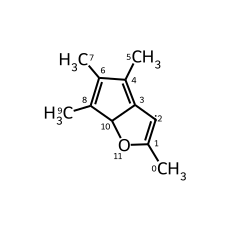 CC1=[C]C2=C(C)C(C)=C(C)C2O1